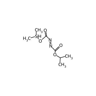 CC(C)OC(=O)N=NC(=O)O[SiH](C)C